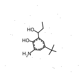 CCC(O)c1cc(C(C)(C)C)cc(N)c1O